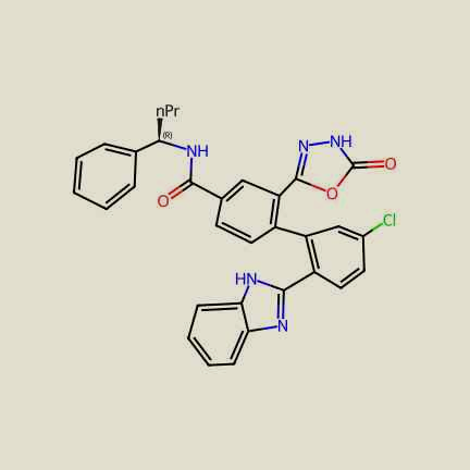 CCC[C@@H](NC(=O)c1ccc(-c2cc(Cl)ccc2-c2nc3ccccc3[nH]2)c(-c2n[nH]c(=O)o2)c1)c1ccccc1